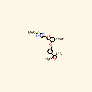 COc1cc(OCc2cccc(-c3c(C)coc3C)c2)c2cc(-c3cn4nc(OC)sc4n3)oc2c1